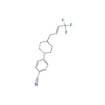 N#Cc1ccc(C2CCC(C/C=C/C(F)(F)F)CC2)cc1